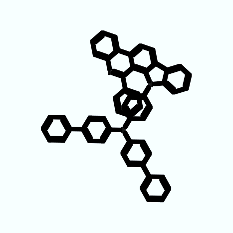 c1ccc(-c2ccc(N(c3ccc(-c4ccccc4)cc3)c3ccc(-n4c5ccccc5c5ccc6c7ccccc7nc(-c7ccccc7)c6c54)cc3)cc2)cc1